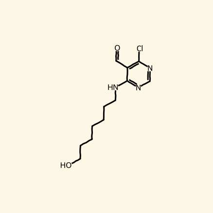 O=Cc1c(Cl)ncnc1NCCCCCCCO